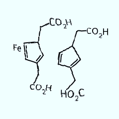 O=C(O)CC1=CC(CC(=O)O)C=C1.O=C(O)CC1=CC(CC(=O)O)C=C1.[Fe]